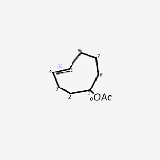 CC(=O)OC1CC/C=C/CCC1